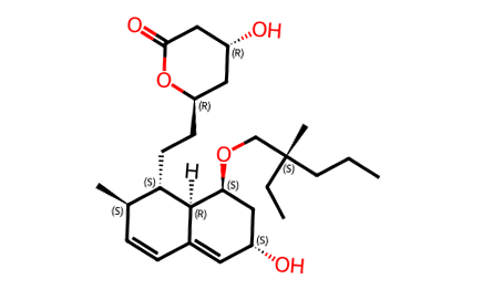 CCC[C@](C)(CC)CO[C@H]1C[C@H](O)C=C2C=C[C@@H](C)[C@H](CC[C@@H]3C[C@@H](O)CC(=O)O3)[C@H]21